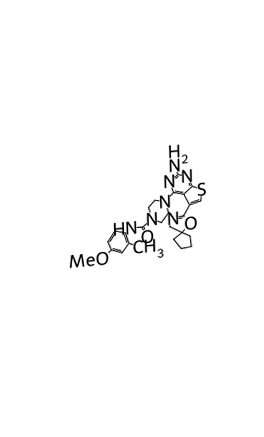 COc1ccc(NC(=O)N2CCN(c3nc(N)nc4scc(C5=NCC6(CCCC6)O5)c34)CC2)c(C)c1